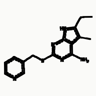 CCc1[nH]c2nc(SCc3cccnc3)nc(N)c2c1C